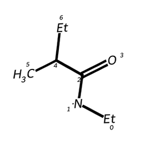 CC[N]C(=O)C(C)CC